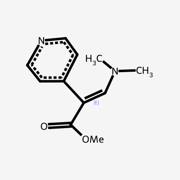 COC(=O)/C(=C/N(C)C)c1ccncc1